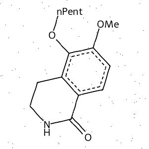 CCCCCOc1c(OC)ccc2c1CCNC2=O